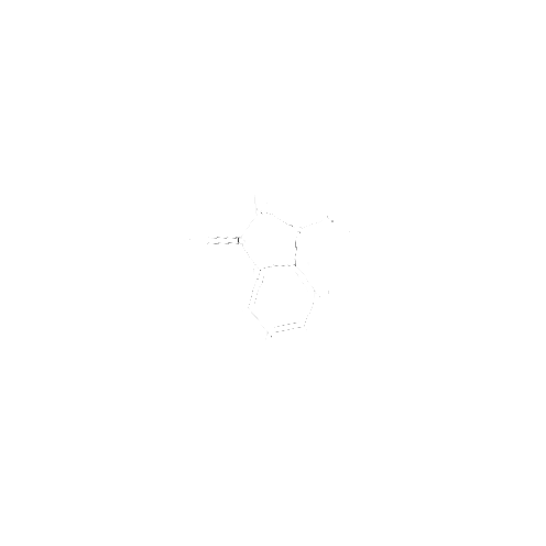 Nn1[nH]c(=O)c2cncnc21